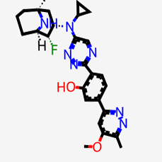 COc1cc(-c2ccc(-c3ncc(N(C4CC4)[C@H]4C[C@]5(C)CCC[C@@H](N5)[C@H]4F)nn3)c(O)c2)nnc1C